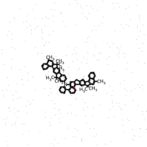 Cc1cc2c(c3ccccc13)-c1cc3c(cc1C2(C)C)-c1ccc(N(c2ccc4c(c2)C(C)(C)c2cc5c(cc2-4)C(C)(C)c2cc(C)c4ccccc4c2-5)c2ccccc2-c2ccccc2)cc1C3